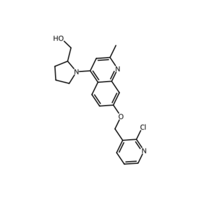 Cc1cc(N2CCCC2CO)c2ccc(OCc3cccnc3Cl)cc2n1